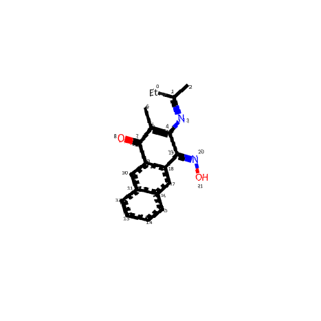 CC/C(C)=N\C1=C(C)C(=O)c2cc3ccccc3cc2/C1=N\O